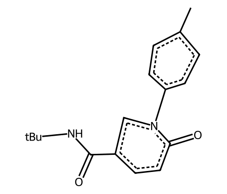 Cc1ccc(-n2cc(C(=O)NC(C)(C)C)ccc2=O)cc1